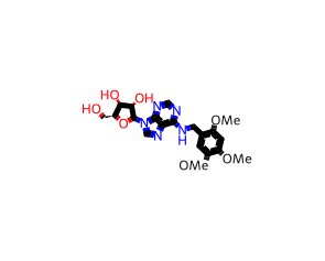 COc1cc(OC)c(OC)cc1CNc1ncnc2c1ncn2C1O[C@H](CO)[C@@H](O)[C@H]1O